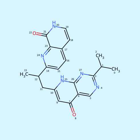 CC(C)c1ncc2c(=O)cc(CC(C)c3ccc4cc[nH]c(=O)c4n3)[nH]c2n1